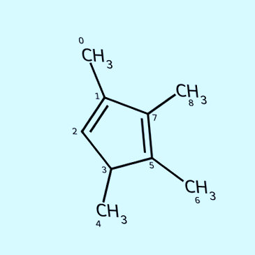 CC1=CC(C)C(C)=C1C